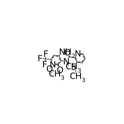 CCSc1cccnc1C(=O)N(C)c1c(N)cc(C(F)(F)F)n(OC)c1=O